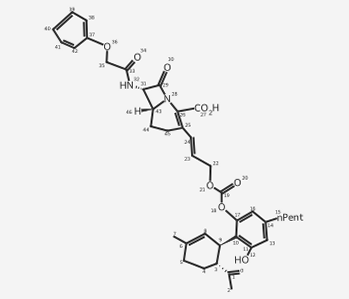 C=C(C)[C@@H]1CCC(C)=C[C@H]1c1c(O)cc(CCCCC)cc1OC(=O)OC/C=C/C1=C(C(=O)O)N2C(=O)[C@@H](NC(=O)COc3ccccc3)[C@H]2CC1